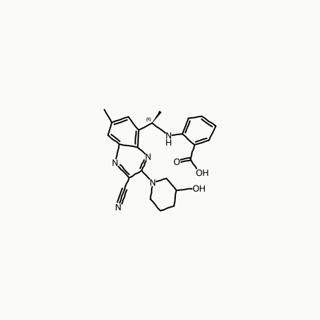 Cc1cc([C@@H](C)Nc2ccccc2C(=O)O)c2nc(N3CCCC(O)C3)c(C#N)nc2c1